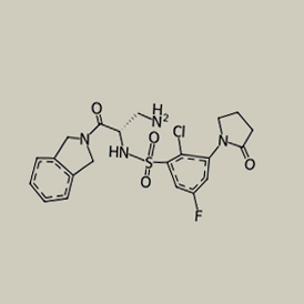 NC[C@H](NS(=O)(=O)c1cc(F)cc(N2CCCC2=O)c1Cl)C(=O)N1Cc2ccccc2C1